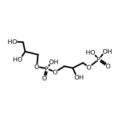 O=P(O)(O)OCC(O)COP(=O)(O)OCC(O)CO